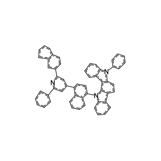 c1ccc(-c2cc(-c3ccc(-n4c5ccccc5c5ccc6c(c7ccccc7n6-c6ccccc6)c54)c4ccccc34)cc(-c3ccc4ccccc4c3)n2)cc1